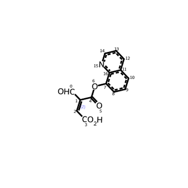 O=C/C(=C/C(=O)O)C(=O)Oc1cccc2cccnc12